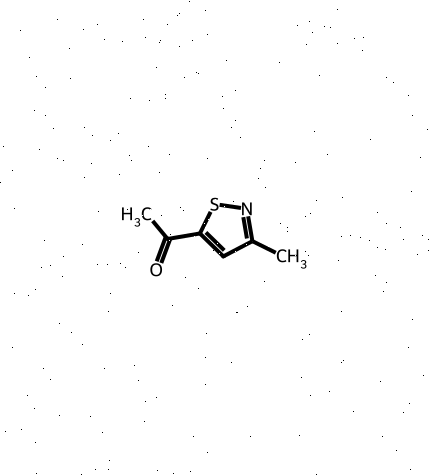 CC(=O)c1cc(C)ns1